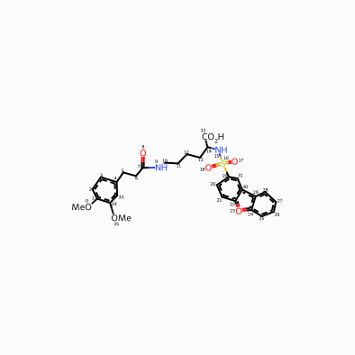 COc1ccc(CCC(=O)NCCCCC(NS(=O)(=O)c2ccc3oc4ccccc4c3c2)C(=O)O)cc1OC